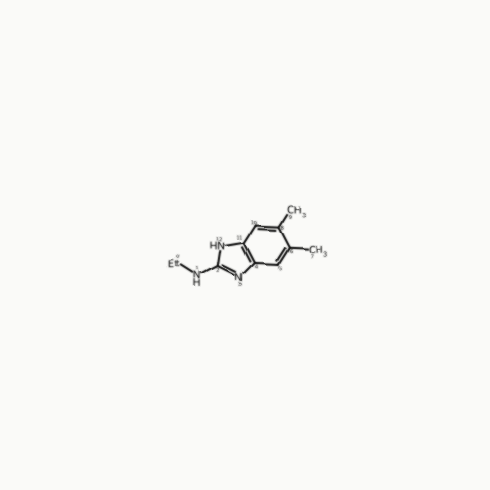 CCNc1nc2cc(C)c(C)cc2[nH]1